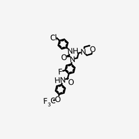 O=C(Nc1ccc(OC(F)(F)F)cc1)c1ccc(N(CCN2CCOCC2)C(=O)Nc2ccc(Cl)cc2)cc1F